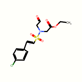 CCOC(=O)CN(CC=O)S(=O)(=O)/C=C/c1ccc(Cl)cc1